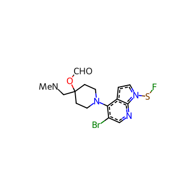 CNCC1(OC=O)CCN(c2c(Br)cnc3c2ccn3SF)CC1